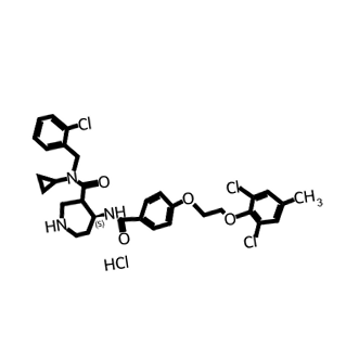 Cc1cc(Cl)c(OCCOc2ccc(C(=O)N[C@H]3CCNCC3C(=O)N(Cc3ccccc3Cl)C3CC3)cc2)c(Cl)c1.Cl